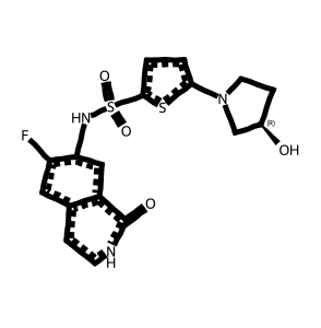 O=c1[nH]ccc2cc(F)c(NS(=O)(=O)c3ccc(N4CC[C@@H](O)C4)s3)cc12